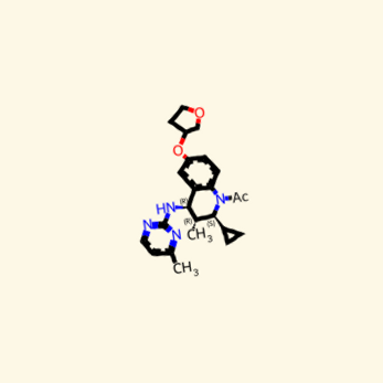 CC(=O)N1c2ccc(OC3CCOC3)cc2[C@H](Nc2nccc(C)n2)[C@@H](C)[C@@H]1C1CC1